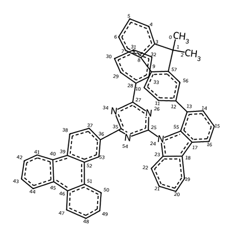 CC1(C)c2ccccc2-c2ccc(-c3cccc4c5ccccc5n(-c5nc(-c6ccccc6)nc(-c6ccc7c8ccccc8c8ccccc8c7c6)n5)c34)cc21